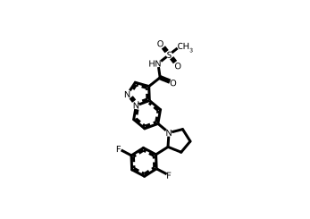 CS(=O)(=O)NC(=O)c1cnn2ccc(N3CCCC3c3cc(F)ccc3F)cc12